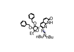 CCCCN(/C=N/c1nc2[nH]c(=O)ccc2cc1[C@@H]1O[C@H](CC)C(OCc2ccccc2)[C@@H]1OCc1ccccc1)CCCC